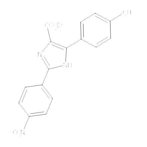 CCOC(=O)c1nc(-c2ccc([N+](=O)[O-])cc2)[nH]c1-c1ccc(C)cc1